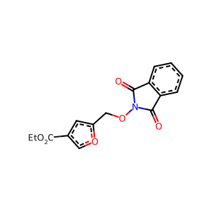 CCOC(=O)c1coc(CON2C(=O)c3ccccc3C2=O)c1